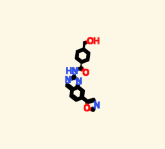 O=C(Nc1ncc2ccc(-c3cnco3)cc2n1)[C@H]1CC[C@H](CO)CC1